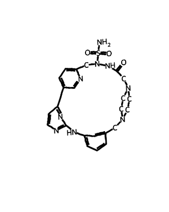 NS(=O)(=O)N1Cc2ccc(cn2)-c2ccnc(n2)Nc2cccc(c2)CN2CCN(CC2)CC(=O)N1